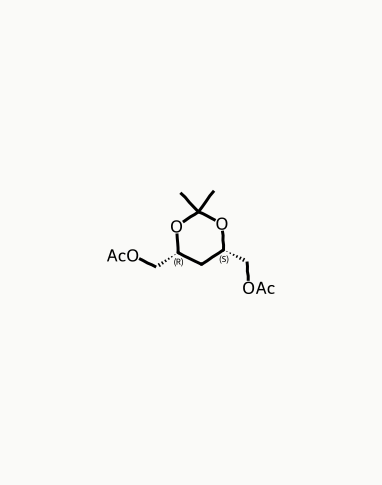 CC(=O)OC[C@@H]1C[C@H](COC(C)=O)OC(C)(C)O1